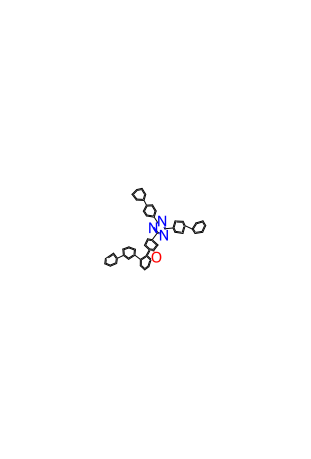 c1ccc(-c2ccc(-c3nc(-c4ccc(-c5ccccc5)cc4)nc(-c4ccc5c(c4)oc4cccc(-c6cccc(-c7ccccc7)c6)c45)n3)cc2)cc1